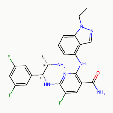 CCn1ncc2c(Nc3nc(N[C@H](c4cc(F)cc(F)c4)[C@H](C)N)c(F)cc3C(N)=O)cccc21